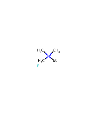 CC[N+](C)(C)C.[F-]